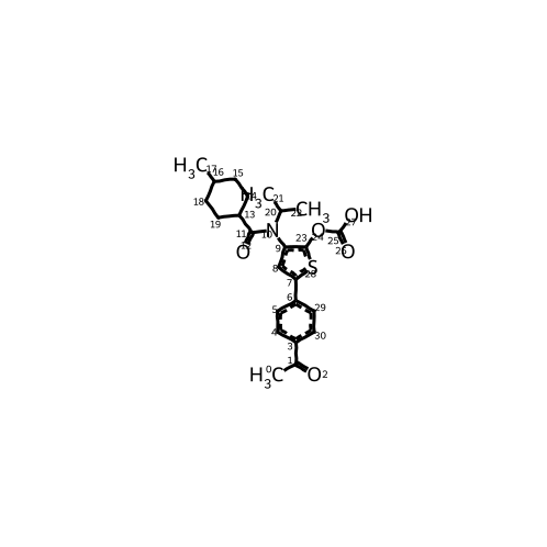 CC(=O)c1ccc(-c2cc(N(C(=O)C3CCC(C)CC3)C(C)C)c(OC(=O)O)s2)cc1